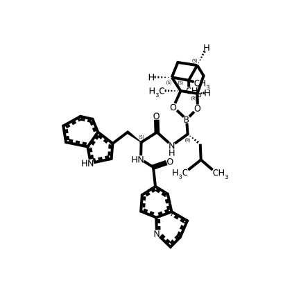 CC(C)C[C@H](NC(=O)[C@H](Cc1c[nH]c2ccccc12)NC(=O)c1ccc2ncccc2c1)B1O[C@@H]2C[C@@H]3C[C@@H](C3(C)C)[C@]2(C)O1